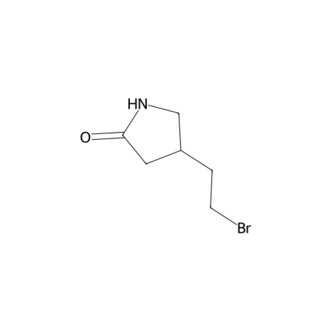 O=C1CC(CCBr)CN1